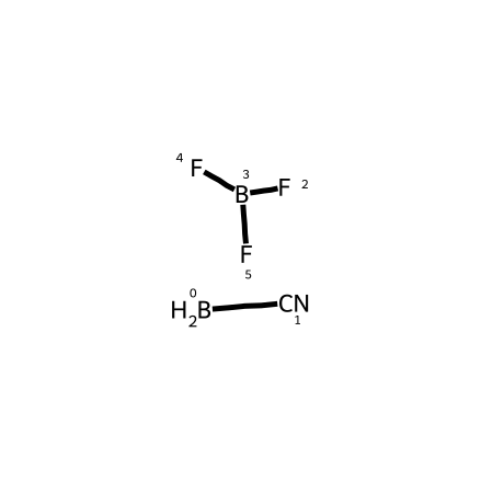 BC#N.FB(F)F